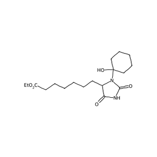 CCOC(=O)CCCCCCC1C(=O)NC(=O)N1C1(O)CCCCC1